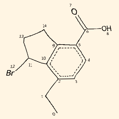 CCc1ccc(C(=O)O)c2c1C(Br)CC2